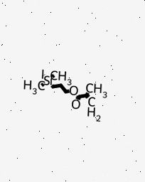 C=C(C)C(=O)OCCC[Si](C)(C)I